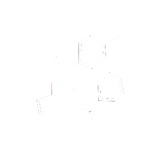 C=CCOS(=O)(=O)c1ccc(C)cc1.O=C(O)c1ccccc1